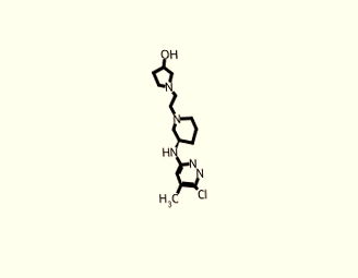 Cc1cc(N[C@@H]2CCCN(CCN3CCC(O)C3)C2)nnc1Cl